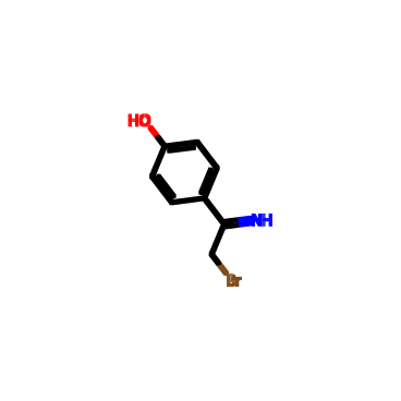 N=C(CBr)c1ccc(O)cc1